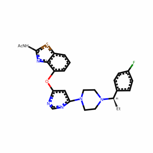 CC[C@H](c1ccc(F)cc1)N1CCN(c2cc(Oc3cccc4sc(NC(C)=O)nc34)ncn2)CC1